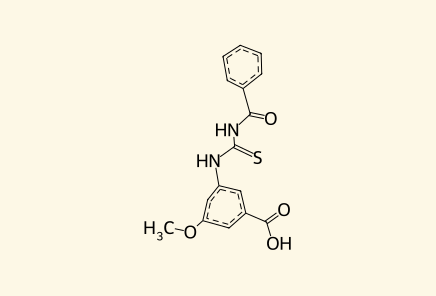 COc1cc(NC(=S)NC(=O)c2ccccc2)cc(C(=O)O)c1